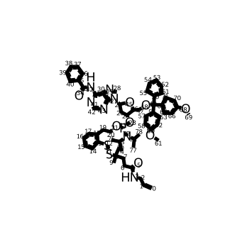 C=CCNC(=O)CCC(C)(C)SSc1ccccc1CCOP(OC1CC(n2cnc3c(NC(=O)c4ccccc4)ncnc32)OC1COC(c1ccccc1)(c1ccc(OC)cc1)c1ccc(OC)cc1)N(C(C)C)C(C)C